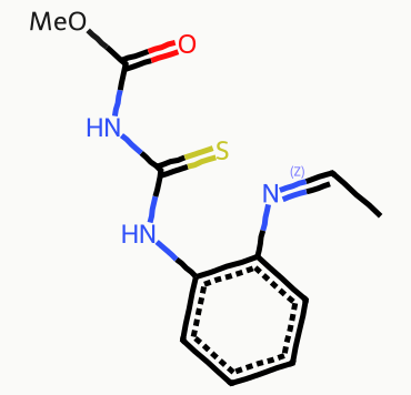 C/C=N\c1ccccc1NC(=S)NC(=O)OC